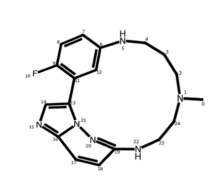 CN1CCCNc2ccc(F)c(c2)-c2cnc3ccc(nn23)NCC1